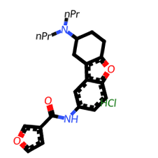 CCCN(CCC)C1CCc2oc3ccc(NC(=O)c4ccoc4)cc3c2C1.Cl